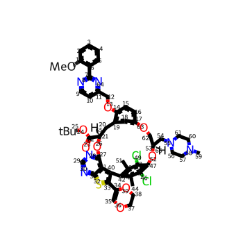 COc1ccccc1-c1nccc(COc2ccc3cc2C[C@H](C(=O)OC(C)(C)C)Oc2ncnc4sc(C5=COCCO5)c(c24)-c2c(C)c(Cl)c(c(Cl)c2C)O[C@H](CN2CCN(C)CC2)CO3)n1